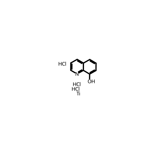 Cl.Cl.Cl.Oc1cccc2cccnc12.[Ti]